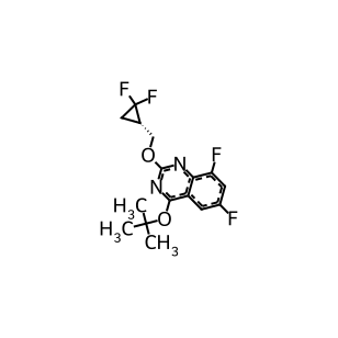 CC(C)(C)Oc1nc(OC[C@@H]2CC2(F)F)nc2c(F)cc(F)cc12